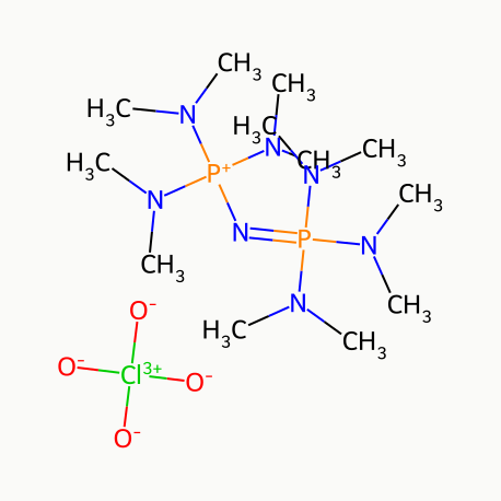 CN(C)P(=N[P+](N(C)C)(N(C)C)N(C)C)(N(C)C)N(C)C.[O-][Cl+3]([O-])([O-])[O-]